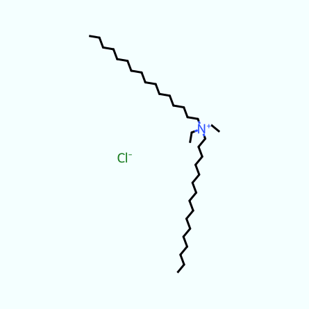 CCCCCCCCCCCCCCCC[N+](CC)(CC)CCCCCCCCCCCCCCCC.[Cl-]